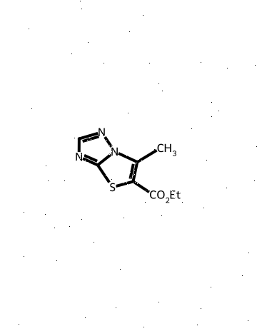 CCOC(=O)c1sc2ncnn2c1C